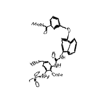 CNC(=O)c1cccc(Oc2ccc(NC(=O)Nc3cc(C(C)(C)C)cc(NS(C)(=O)=O)c3OC)c3ccccc23)c1